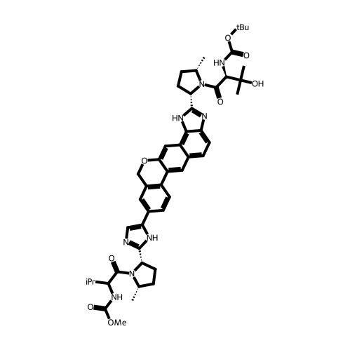 COC(=O)NC(C(=O)N1[C@@H](C)CC[C@H]1c1ncc(-c2ccc3c(c2)COc2cc4c(ccc5nc([C@@H]6CC[C@H](C)N6C(=O)[C@@H](NC(=O)OC(C)(C)C)C(C)(C)O)[nH]c54)cc2-3)[nH]1)C(C)C